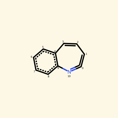 C1=CC=Cc2ccccc2N=1